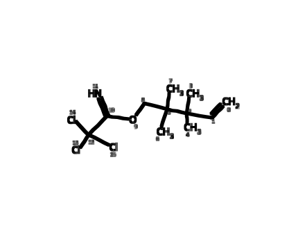 C=CC(C)(C)C(C)(C)COC(=N)C(Cl)(Cl)Cl